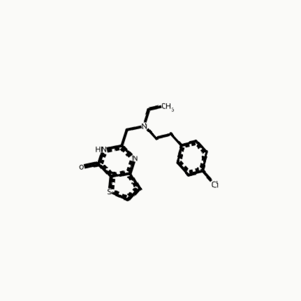 CCN(CCc1ccc(Cl)cc1)Cc1nc2ccsc2c(=O)[nH]1